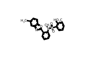 Cc1ccc2oc(-c3ccccc3N(C)S(=O)(=O)c3ccccc3C(=O)O)nc2c1